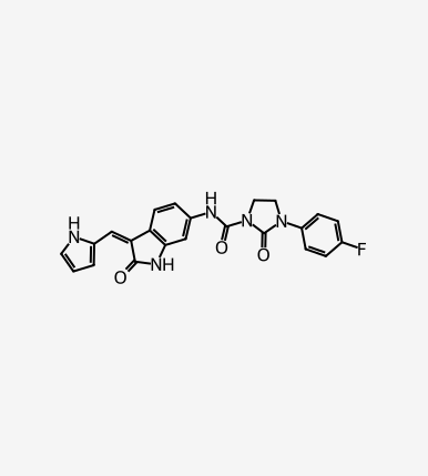 O=C1Nc2cc(NC(=O)N3CCN(c4ccc(F)cc4)C3=O)ccc2C1=Cc1ccc[nH]1